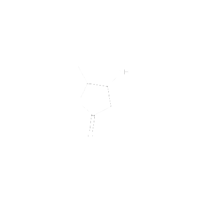 CC1OC(=O)CC1S